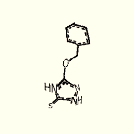 S=c1[nH]nc(OCc2ccccc2)[nH]1